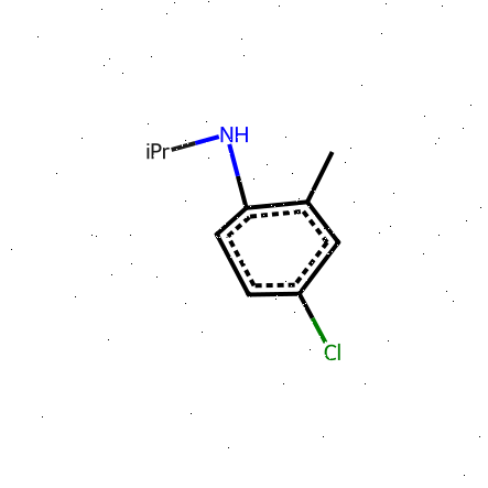 Cc1cc(Cl)ccc1NC(C)C